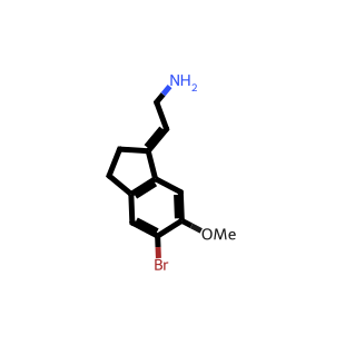 COc1cc2c(cc1Br)CCC2=CCN